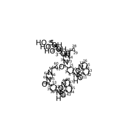 O=C(c1ccc(NS(=O)(=O)c2cccc3cccnc23)cc1)N1CCN(CC2CC2)CC1.O=C(c1ccc(NS(=O)(=O)c2cccc3cccnc23)cc1)N1CCN(CC2CC2)CC1.O=S(=O)(O)O.O=S(=O)(O)O.O=S(=O)(O)O